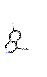 COc1cncc2cc(F)ccc12